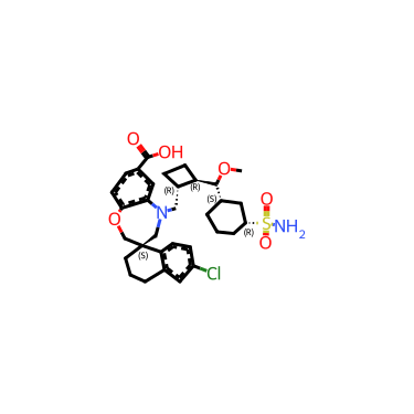 COC([C@H]1CCC[C@@H](S(N)(=O)=O)C1)[C@@H]1CC[C@H]1CN1C[C@@]2(CCCc3cc(Cl)ccc32)COc2ccc(C(=O)O)cc21